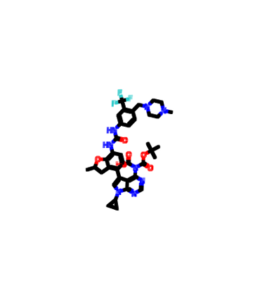 CC1Cc2c(-c3cn(C4CC4)c4ncnc(N(C(=O)O)C(=O)OC(C)(C)C)c34)ccc(NC(=O)Nc3ccc(CN4CCN(C)CC4)c(C(F)(F)F)c3)c2O1